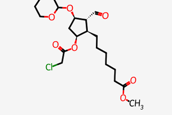 COC(=O)CCCCCC[C@@H]1[C@@H](C=O)[C@H](OC2CCCCO2)C[C@@H]1OC(=O)CCl